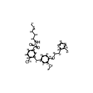 COc1cc(Cc2cc(S(=O)(=O)NCCCSC)ccc2Cl)ccc1OCCc1scnc1C